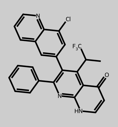 CC(c1c(-c2cc(Cl)c3ncccc3c2)c(-c2ccccc2)nc2[nH]ccc(=O)c12)C(F)(F)F